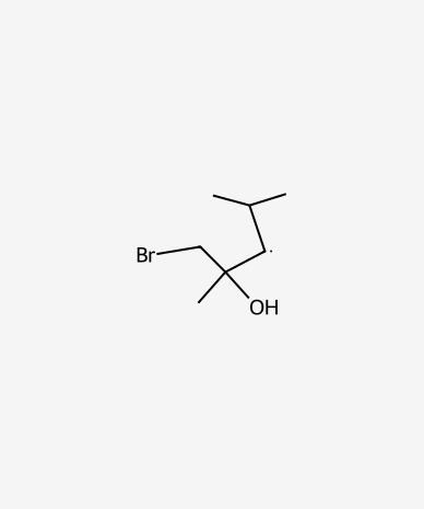 CC(C)[CH]C(C)(O)CBr